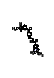 C=N/C=c1/oc(C(=O)NCC2CC23CCN(C(=O)c2ccc4[nH]c(C)nc4c2)CC3)c/c1=C/C